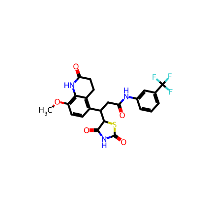 COc1ccc(C(CC(=O)Nc2cccc(C(F)(F)F)c2)C2SC(=O)NC2=O)c2c1NC(=O)CC2